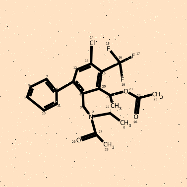 CCN(Cc1c(-c2ccccc2)cc(Cl)c(C(F)(F)F)c1C(C)OC(C)=O)C(C)=O